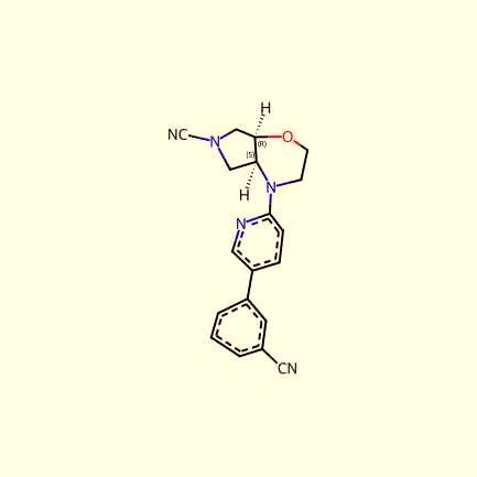 N#Cc1cccc(-c2ccc(N3CCO[C@@H]4CN(C#N)C[C@@H]43)nc2)c1